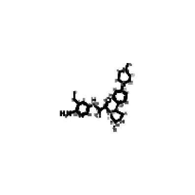 CCc1cc(NC(=O)C(=O)N2C[C@@H](C)CC[C@@H]2c2ccc(N3CCN(C)CC3)cc2)cnc1N